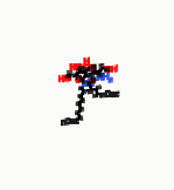 CCCCCCCCCCCCCCCCCCN(C(=O)CCCCCCCCCCCCC)[C@@H]1O[C@H](CO)[C@@H](O)[C@H](O)[C@H]1NC(=O)[C@@H](N)CO